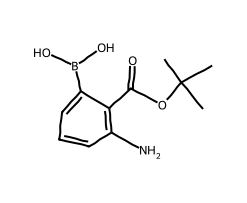 CC(C)(C)OC(=O)c1c(N)cccc1B(O)O